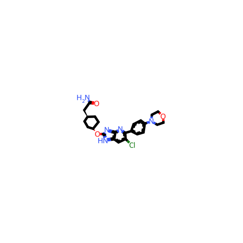 NC(=O)C[C@H]1CC[C@H](Oc2nc3nc(-c4ccc(N5CCOCC5)cc4)c(Cl)cc3[nH]2)CC1